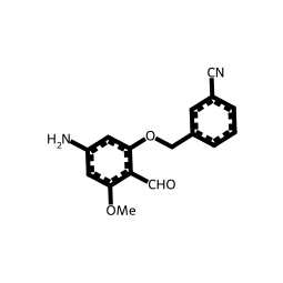 COc1cc(N)cc(OCc2cccc(C#N)c2)c1C=O